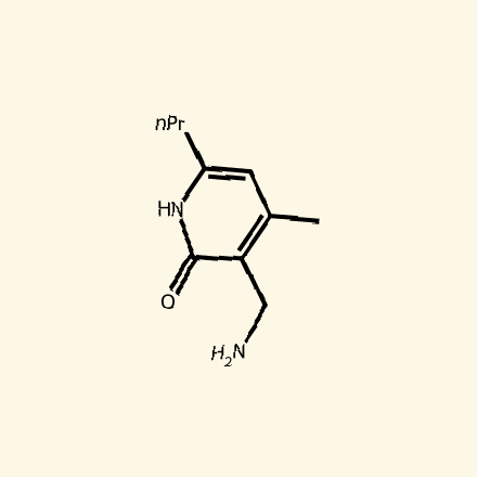 CCCc1cc(C)c(CN)c(=O)[nH]1